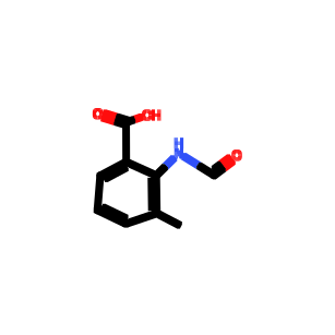 Cc1cccc(C(=O)O)c1NC=O